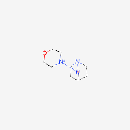 C1C[N+](N2CC3CCN2CC3)CCO1